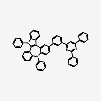 c1ccc(-c2cc(-c3cccc(-c4ccc5c(c4)-c4c(n(-c6ccccc6)c6ccccc46)-c4ccccc4N5c4ccccc4)c3)nc(-c3ccccc3)n2)cc1